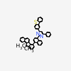 CC1(C)c2cccc(-c3ccc(-c4nc(-c5ccccc5)cc(-c5ccc6sc7ccccc7c6c5)n4)c4ccccc34)c2-c2ccc3ccccc3c21